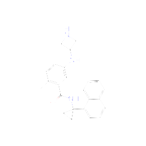 Cc1ccc(NC2CNC2)cc1C(=O)NC1(c2cccc3ccccc23)CC1